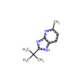 Cc1ccc2[nH]c(C(C)(C)C)nc2n1